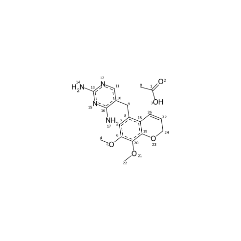 CC(=O)O.COc1cc(Cc2cnc(N)nc2N)c2c(c1OC)OCC=C2